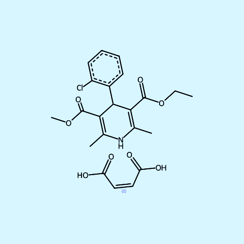 CCOC(=O)C1=C(C)NC(C)=C(C(=O)OC)C1c1ccccc1Cl.O=C(O)/C=C\C(=O)O